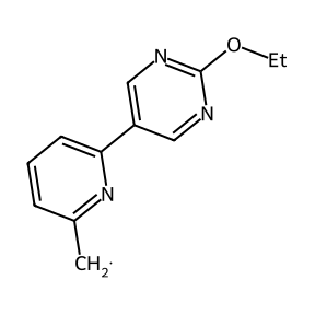 [CH2]c1cccc(-c2cnc(OCC)nc2)n1